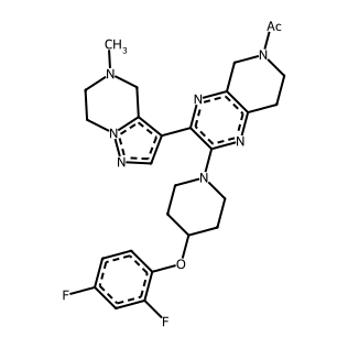 CC(=O)N1CCc2nc(N3CCC(Oc4ccc(F)cc4F)CC3)c(-c3cnn4c3CN(C)CC4)nc2C1